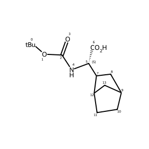 CC(C)(C)OC(=O)N[C@H](C(=O)O)C1CC2CCC1C2